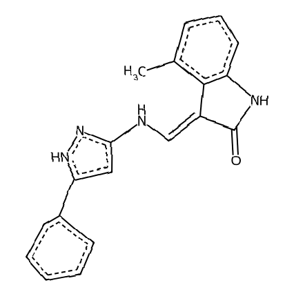 Cc1cccc2c1/C(=C\Nc1cc(-c3ccccc3)[nH]n1)C(=O)N2